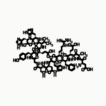 CC(C)[C@H](NC(=O)[C@H](CCC(=O)O)NC(=O)[C@H](Cc1ccc(O)cc1)NC(=O)CNC(=O)[C@H](CO)NC(=O)[C@H](CC(=O)O)NC(=O)[C@H](Cc1c[nH]cn1)NC(=O)[C@H](CCCNC(=N)N)NC(=O)[C@H](Cc1ccccc1)NC(=O)[C@H](CCC(=O)O)NC(=O)[C@H](C)NC(=O)[C@@H](N)CC(=O)O)C(=O)N[C@@H](Cc1c[nH]cn1)C(=O)N[C@@H](Cc1c[nH]cn1)C(=O)O